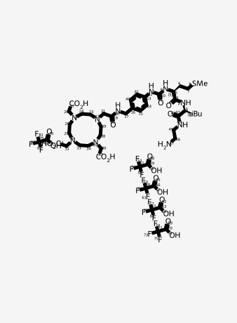 CC[C@H](C)[C@H](NC(=O)[C@H](CCSC)NC(=O)Nc1ccc(CNC(=O)CN2CCN(CC(=O)O)CCN(CC(=O)O)CCN(CC(=O)O)CC2)cc1)C(=O)NCCN.O=C(O)C(F)(F)F.O=C(O)C(F)(F)F.O=C(O)C(F)(F)F.O=C(O)C(F)(F)F.O=C(O)C(F)(F)F